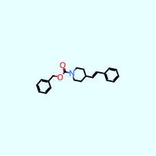 O=C(OCc1ccccc1)N1CCC(/C=C/c2ccccc2)CC1